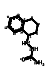 NC(=O)NNC1CCCc2ccccc21